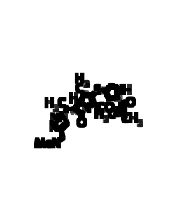 CNCc1cn(C(C)[C@H]2C(=O)N3C(C(=O)O)=C(S[C@H]4CN[C@H](C(=O)N(C)C)C4)[C@H](C)[C@H]23)nn1